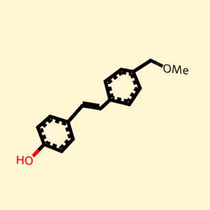 COCc1ccc(/C=C/c2ccc(O)cc2)cc1